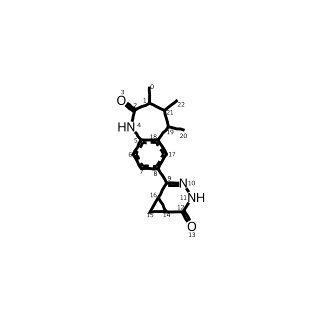 CC1C(=O)Nc2ccc(C3=NNC(=O)C4CC34)cc2C(C)C1C